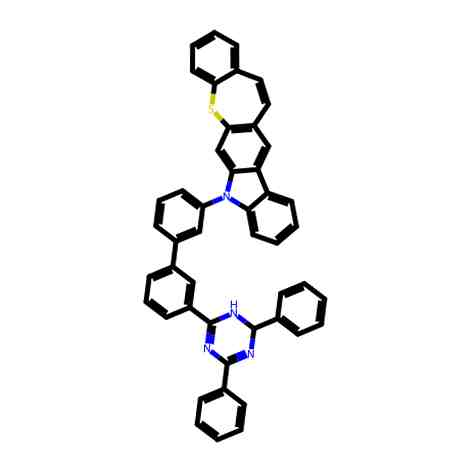 C1=Cc2cc3c4ccccc4n(-c4cccc(-c5cccc(C6=NC(c7ccccc7)=NC(c7ccccc7)N6)c5)c4)c3cc2Sc2ccccc21